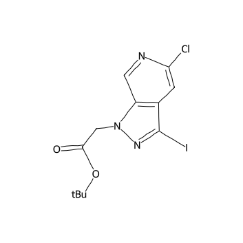 CC(C)(C)OC(=O)Cn1nc(I)c2cc(Cl)ncc21